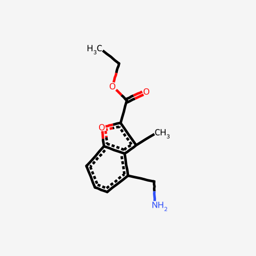 CCOC(=O)c1oc2cccc(CN)c2c1C